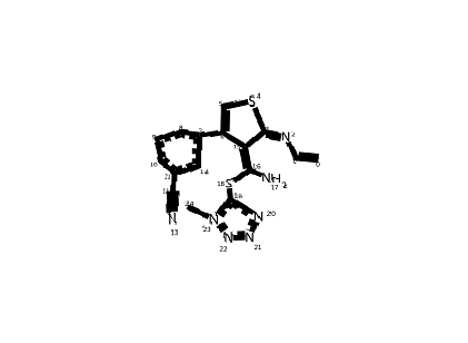 C=C/N=C1/SC=C(c2cccc(C#N)c2)/C1=C(/N)Sc1nnnn1C